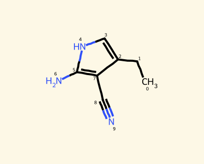 CCc1c[nH]c(N)c1C#N